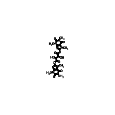 Cn1c(=O)c2c(nc(OC(=O)C(O)C(O)C(=O)Oc3nc4c(c(=O)n(C)c(=O)n4C)n3C)n2C)n(C)c1=O